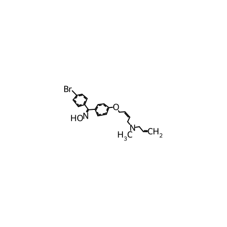 C=CCN(C)C/C=C\COc1ccc(C(=NO)c2ccc(Br)cc2)cc1